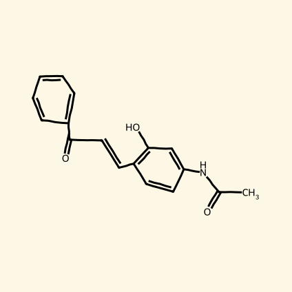 CC(=O)Nc1ccc(C=CC(=O)c2ccccc2)c(O)c1